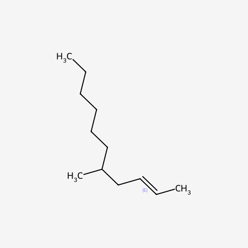 C/C=C/CC(C)CCCCCC